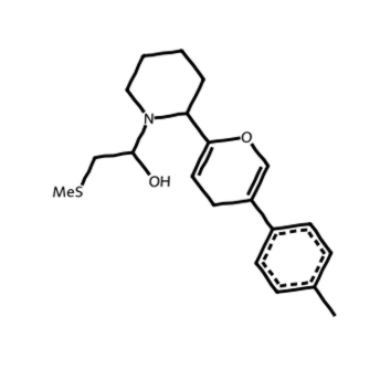 CSCC(O)N1CCCCC1C1=CCC(c2ccc(C)cc2)=CO1